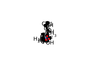 CC1=C(CC(=O)O)c2cc(F)ccc2/C1=C\c1ccc([S+](C)[O-])cc1.CN1C(C(=O)Nc2ccccn2)=C(O)c2sccc2S1(=O)=O.O=C(O)COC(=O)Cc1ccccc1Nc1c(Cl)cccc1Cl